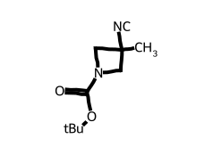 [C-]#[N+]C1(C)CN(C(=O)OC(C)(C)C)C1